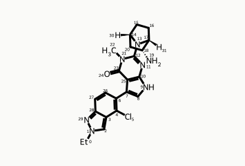 CCn1cc2c(Cl)c(-c3c[nH]c4nc(N5[C@H]6CC[C@@H]5[C@H](N)C6)n(C)c(=O)c34)ccc2n1